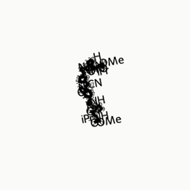 COC(=O)N[C@H](C(=O)N1CCC[C@H]1c1ncc(-c2ccc3c(c2)OCn2c-3c(C#N)c3cc(-c4cnc([C@@H]5CCCN5C(=O)[C@@H](NC(=O)OC)C(C)C)[nH]4)ccc32)[nH]1)C(C)C